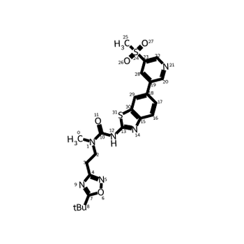 CN(CCc1noc(C(C)(C)C)n1)C(=O)Nc1nc2ccc(-c3cncc(S(C)(=O)=O)c3)cc2s1